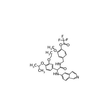 CCOc1cc(C(Nc2ccc3cnccc3c2)C(=O)NCc2ccc(OC(=O)C(F)(F)F)c(OC)c2)ccc1OC(C)C